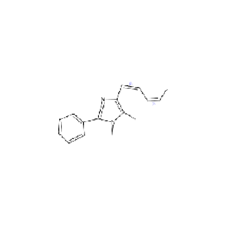 C/C=C\C=C/c1nc(-c2ccccc2)n(C)c1C